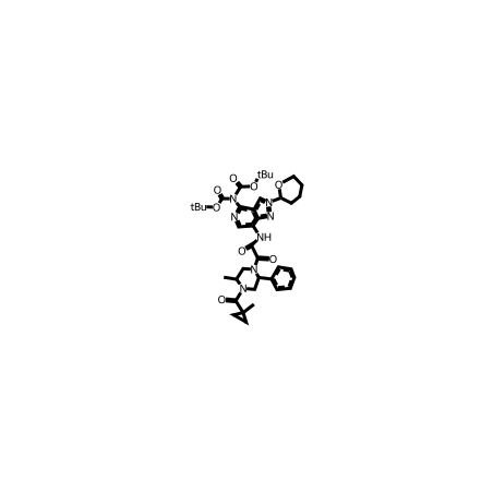 CC1CN(C(=O)C(=O)Nc2cnc(N(C(=O)OC(C)(C)C)C(=O)OC(C)(C)C)c3cn(C4CCCCO4)nc23)C(c2ccccc2)CN1C(=O)C1(C)CC1